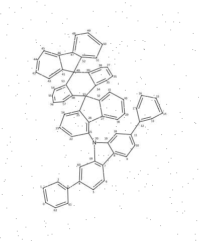 c1ccc(-c2ccc3c4ccc(-c5ccccc5)cc4n(-c4cccc5c4-c4ccccc4C54c5ccccc5C5(c6ccccc6-c6ccccc65)c5ccccc54)c3c2)cc1